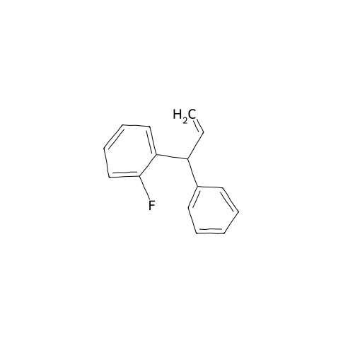 C=CC(c1ccccc1)c1ccccc1F